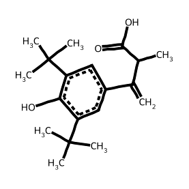 C=C(c1cc(C(C)(C)C)c(O)c(C(C)(C)C)c1)C(C)C(=O)O